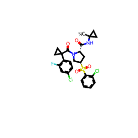 N#CC1(NC(=O)[C@@H]2C[C@@H](S(=O)(=O)c3ccccc3Cl)CN2C(=O)C2(c3ccc(Cl)cc3F)CC2)CC1